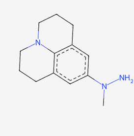 CN(N)c1cc2c3c(c1)CCCN3CCC2